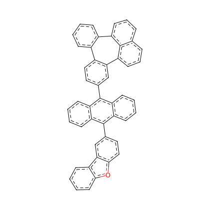 c1ccc2c(c1)-c1ccc(-c3c4ccccc4c(-c4ccc5oc6ccccc6c5c4)c4ccccc34)cc1-c1cccc3cccc-2c13